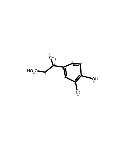 CCc1cc(C(C)CC(=O)O)ccc1O